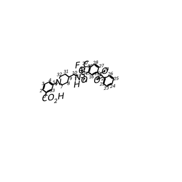 O=C(O)c1cccc(N2CCC(CNS(=O)(=O)c3cc(S(=O)(=O)c4ccccc4)ccc3C(F)(F)F)CC2)c1